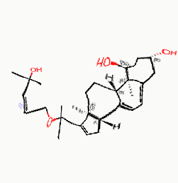 CC(C)(O)/C=C\COC(C)(C)C1=CC[C@H]2C3=CC=C4C[C@@H](O)C[C@H](O)[C@]4(C)[C@H]3CC[C@]12C